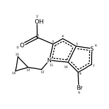 O=C(O)c1cc2scc(Br)c2n1CC1CC1